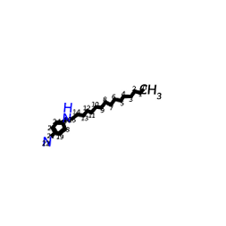 CCCCCCCCCCCCCCCCNc1ccc(C#N)cc1